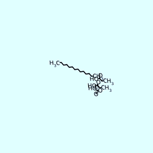 CCC(=O)O.CCC(=O)O.CCCCCCCCCCCCCC.O=[SH](=O)O